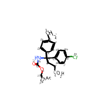 [CH2]c1ccc(C(CCC(=O)O)(NC(=O)OCOC(C)=O)c2ccc(Cl)cc2)cc1